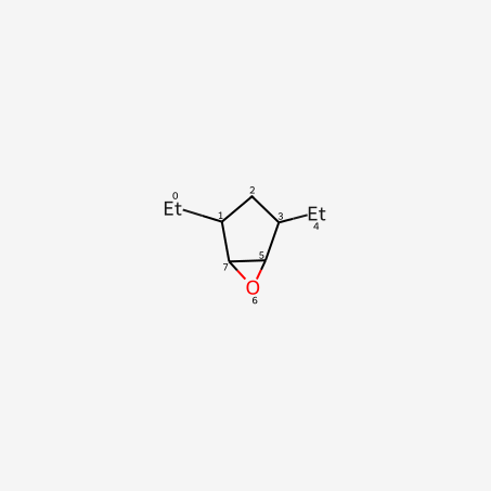 CCC1CC(CC)C2OC12